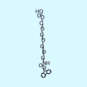 O=C(CO)OCCOCCOCCOCCOCCOCCOCCOCCNC(=O)OCC1c2ccccc2-c2ccccc21